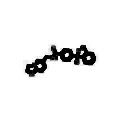 O=C(NCc1ccc2nccn2c1)c1ccc(S(=O)(=O)c2ccccc2Cl)cc1